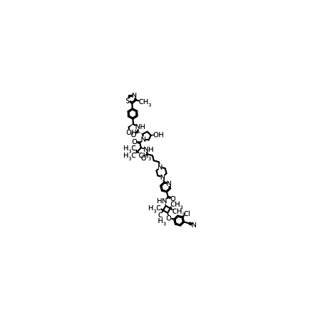 Cc1ncsc1-c1ccc([C@H](CO)NC(=O)[C@@H]2C[C@@H](O)CN2C(=O)[C@@H](NC(=O)CCCN2CCN(c3ccc(C(=O)N[C@H]4C(C)(C)[C@H](Oc5ccc(C#N)c(Cl)c5)C4(C)C)cn3)CC2)C(C)(C)C)cc1